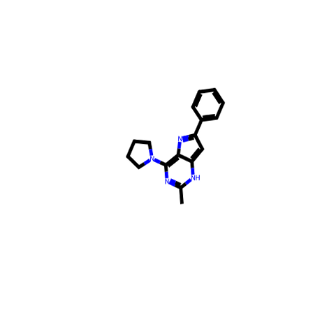 Cc1nc(N2CCCC2)c2nc(-c3ccccc3)cc-2[nH]1